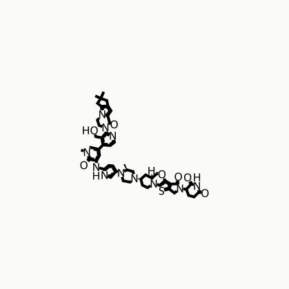 C[C@H]1CN([C@H]2CCN3c4sc5c(c4OC[C@@H]3C2)C(=O)N(C2CCC(=O)NC2=O)C5)CCN1c1ccc(Nc2cc(-c3ccnc(N4CCn5c(cc6c5CC(C)(C)C6)C4=O)c3CO)cn(C)c2=O)nc1